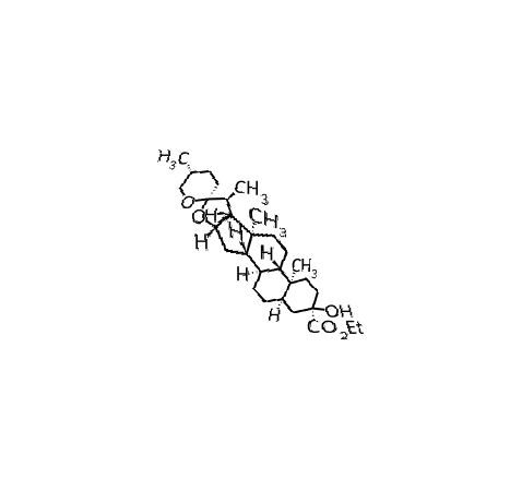 CCOC(=O)[C@@]1(O)CC[C@@]2(C)[C@H](CC[C@@H]3[C@@H]2CC[C@]2(C)[C@@H]4[C@H](C[C@@H]32)O[C@]2(CC[C@@H](C)CO2)[C@H]4C)C1